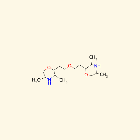 CC1COC(CCOCCC2OCC(C)NC2C)C(C)N1